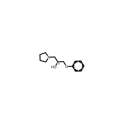 O[C@H](COc1ccccc1)CN1CCCC1